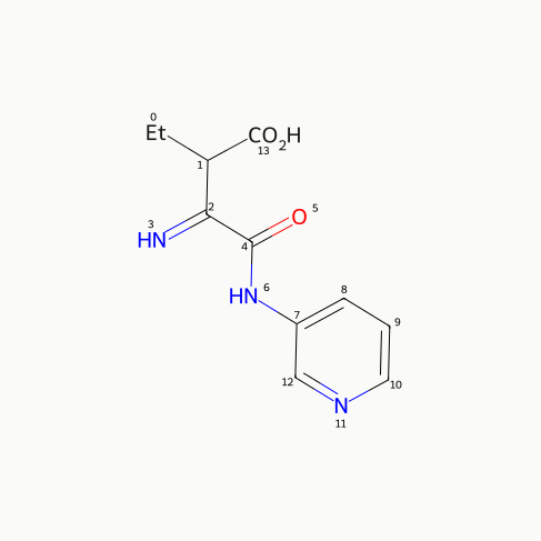 CCC(C(=N)C(=O)Nc1cccnc1)C(=O)O